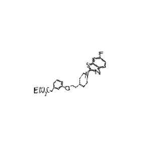 CCOC(=O)Cc1cccc(OCCC2CCN(c3nc4ccc(F)cc4s3)CC2)c1